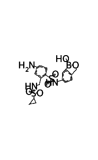 Nc1ccc(S(=O)(=O)Nc2ccc3c(c2)B(O)OC3)c(CNS(=O)(=O)C2CC2)c1